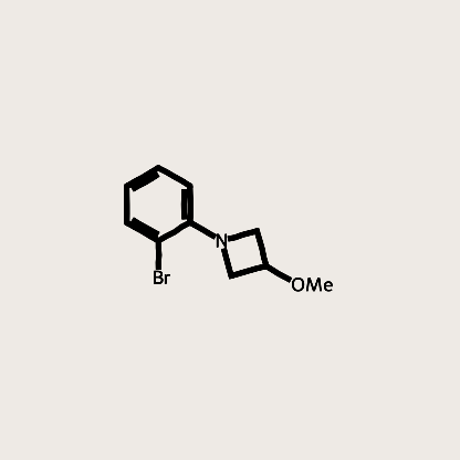 COC1CN(c2ccccc2Br)C1